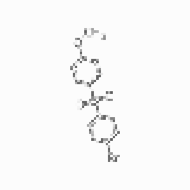 COc1ccc(S(=O)(=O)c2ccc(Br)cc2)cc1